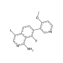 COc1ccncc1-c1ccc2c(I)cnc(N)c2c1F